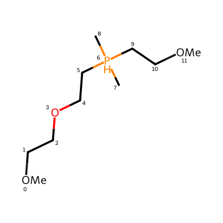 COCCOCC[PH](C)(C)CCOC